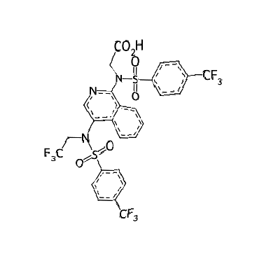 O=C(O)CN(c1ncc(N(CC(F)(F)F)S(=O)(=O)c2ccc(C(F)(F)F)cc2)c2ccccc12)S(=O)(=O)c1ccc(C(F)(F)F)cc1